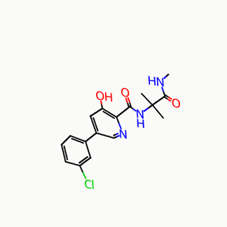 CNC(=O)C(C)(C)NC(=O)c1ncc(-c2cccc(Cl)c2)cc1O